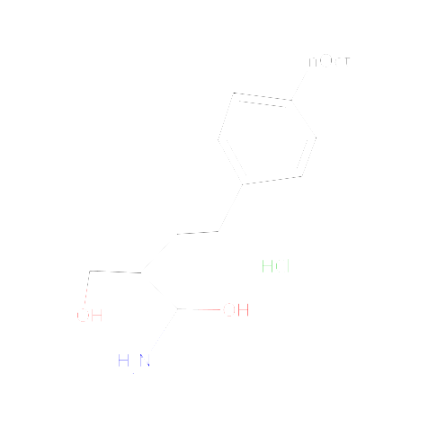 CCCCCCCCc1ccc(CCC(CO)C(N)O)cc1.Cl